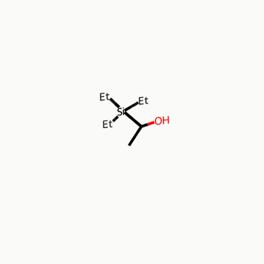 CC[Si](CC)(CC)C(C)O